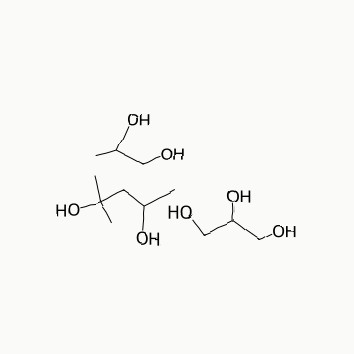 CC(O)CC(C)(C)O.CC(O)CO.OCC(O)CO